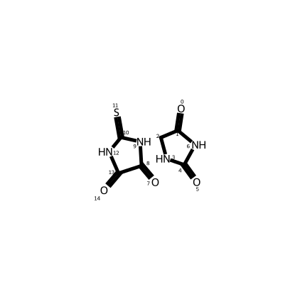 O=C1CNC(=O)N1.O=C1NC(=S)NC1=O